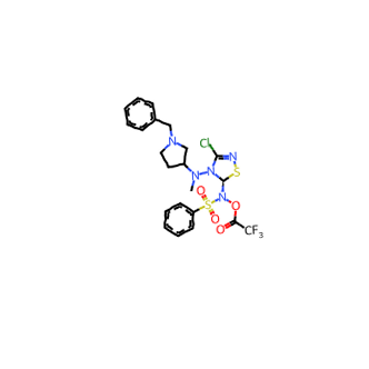 CN(C1CCN(Cc2ccccc2)C1)N1C(Cl)=NS[C@H]1N(OC(=O)C(F)(F)F)S(=O)(=O)c1ccccc1